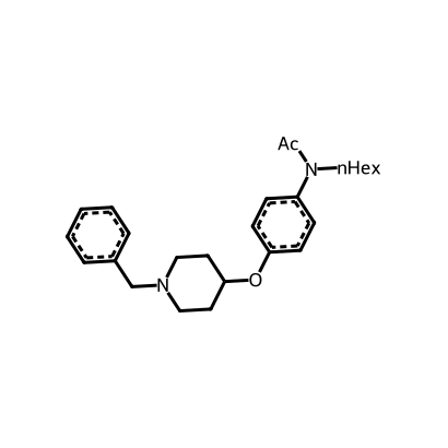 CCCCCCN(C(C)=O)c1ccc(OC2CCN(Cc3ccccc3)CC2)cc1